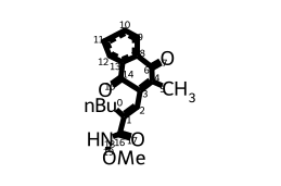 CCCC/C(=C\C1=C(C)C(=O)c2ccccc2C1=O)C(=O)NOC